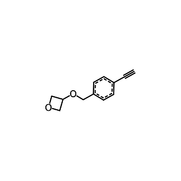 C#Cc1ccc(COC2COC2)cc1